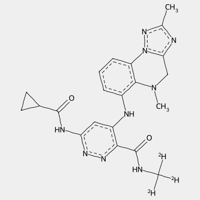 [2H]C([2H])([2H])NC(=O)c1nnc(NC(=O)C2CC2)cc1Nc1cccc2c1N(C)Cc1nc(C)nn1-2